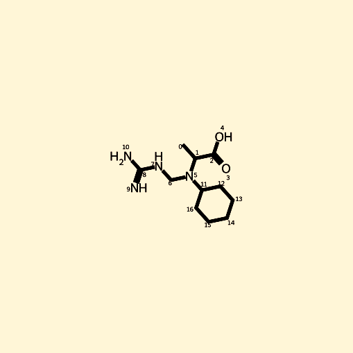 CC(C(=O)O)N(CNC(=N)N)C1CCCCC1